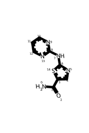 NC(=O)c1cnc(Nc2ncccn2)s1